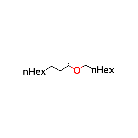 CCCCCCCC[CH]OCCCCCCC